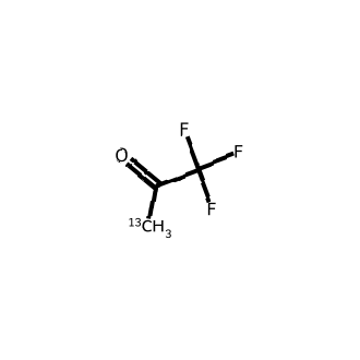 [13CH3]C(=O)C(F)(F)F